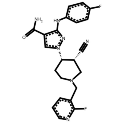 N#C[C@@H]1CN(Cc2cccnc2F)CC[C@@H]1n1cc(C(N)=O)c(Nc2ccc(F)cc2)n1